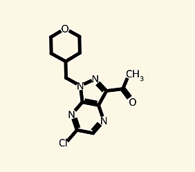 CC(=O)c1nn(CC2CCOCC2)c2nc(Cl)cnc12